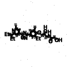 CCc1cc(-c2noc(-c3cc(C)nc(C(CC)CC)c3)n2)cc(C)c1OCC(O)CNC(=O)CO